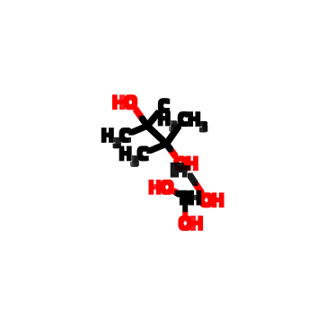 CC(C)(O)C(C)(C)O.CC(C)O.OBO